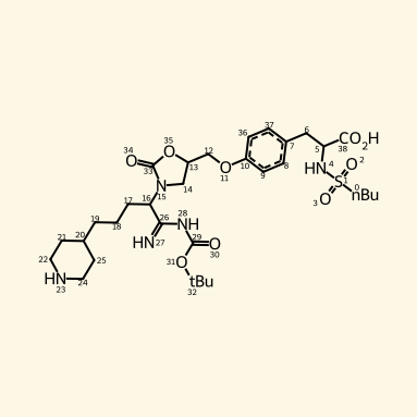 CCCCS(=O)(=O)NC(Cc1ccc(OCC2CN(C(CCCC3CCNCC3)C(=N)NC(=O)OC(C)(C)C)C(=O)O2)cc1)C(=O)O